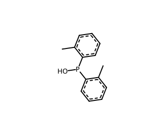 Cc1ccccc1P(O)c1ccccc1C